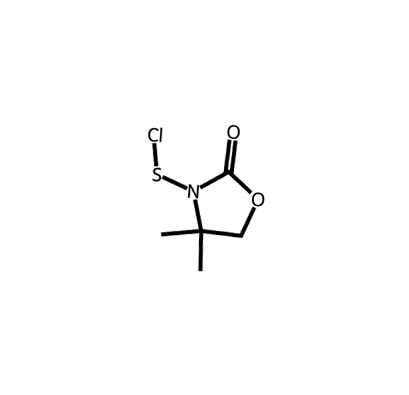 CC1(C)COC(=O)N1SCl